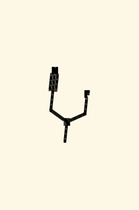 CN(CF)CC#N